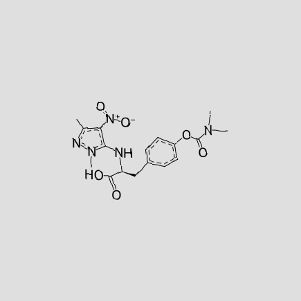 Cc1nn(C)c(N[C@@H](Cc2ccc(OC(=O)N(C)C)cc2)C(=O)O)c1[N+](=O)[O-]